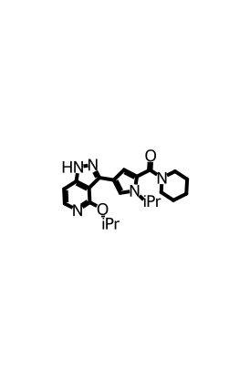 CC(C)Oc1nccc2[nH]nc(-c3cc(C(=O)N4CCCCC4)n(C(C)C)c3)c12